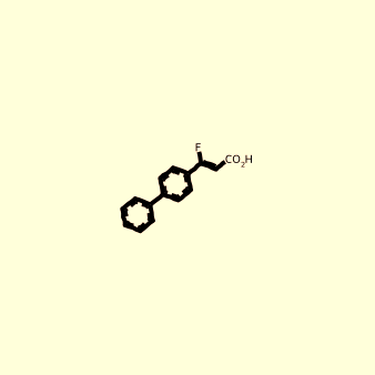 O=C(O)C=C(F)c1ccc(-c2ccccc2)cc1